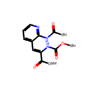 COC(=O)/C(=C/c1cccnc1NC(=O)C(C)(C)C)NC(=O)OC(C)(C)C